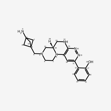 NC12CC(CN3CCN4c5cc(-c6ccccc6O)nnc5NC[C@H]4C3)(C1)C2